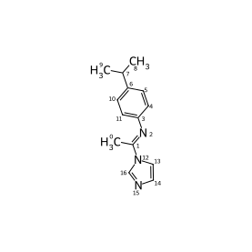 C/C(=N\c1ccc(C(C)C)cc1)n1ccnc1